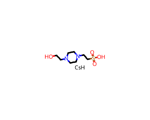 O=S(=O)(O)CCN1CCN(CCO)CC1.[CsH]